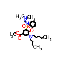 CCCCCN(CCCC)c1cc(C(=O)OC)cc(S(=O)(=O)/N=C/N(C)C)c1Oc1ccccc1